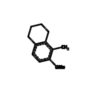 COc1ccc2c(c1C)CCCC2